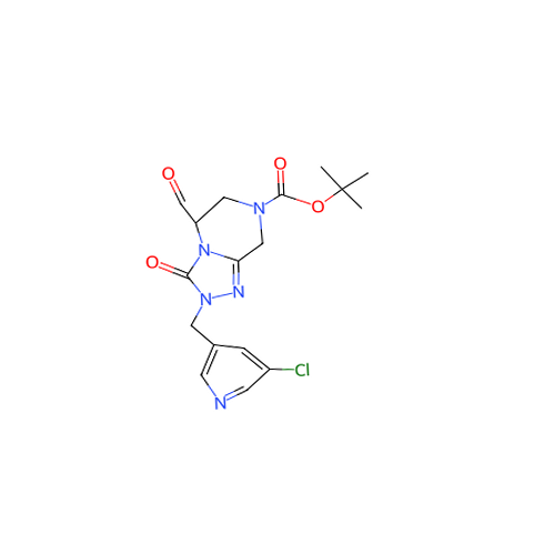 CC(C)(C)OC(=O)N1Cc2nn(Cc3cncc(Cl)c3)c(=O)n2C(C=O)C1